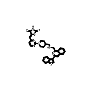 O=C1NC(=O)C(=Cc2ccnc(N3CCC(CNCc4nc(-c5csc6ccccc56)cc5ccccc45)CC3)n2)S1